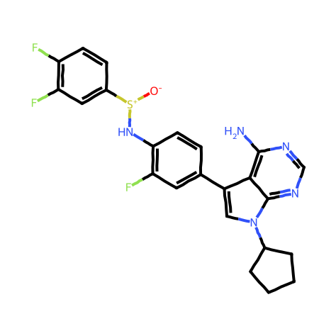 Nc1ncnc2c1c(-c1ccc(N[S+]([O-])c3ccc(F)c(F)c3)c(F)c1)cn2C1CCCC1